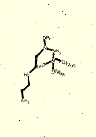 CCCN(CCNCCN)[SiH2][Si](OC)(OC)OC